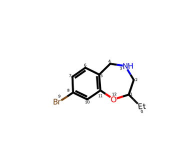 CCC1CNCc2ccc(Br)cc2O1